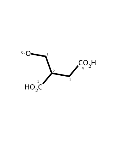 [O]CC(CC(=O)O)C(=O)O